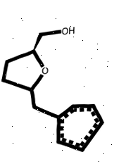 OC[C@@H]1CCC(Cc2ccccc2)O1